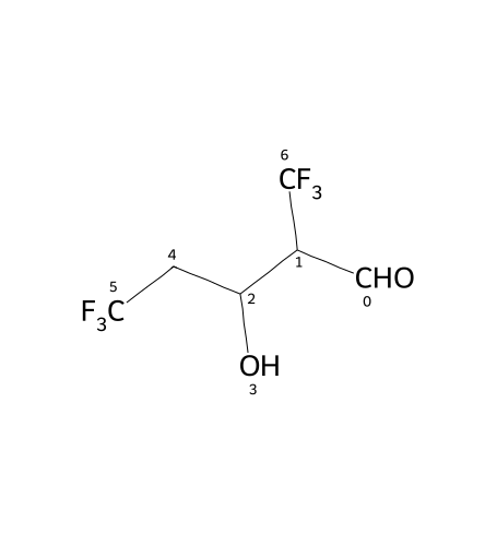 O=CC(C(O)CC(F)(F)F)C(F)(F)F